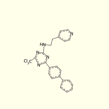 ClC(Cl)(Cl)c1nc(NCCc2ccncc2)nc(-c2ccc(-c3ccccc3)cc2)n1